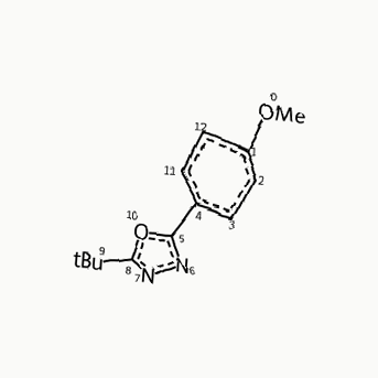 COc1ccc(-c2nnc(C(C)(C)C)o2)cc1